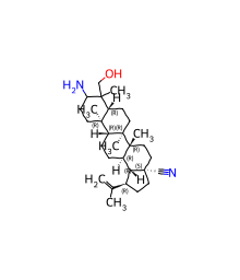 C=C(C)[C@@H]1CC[C@]2(C#N)CC[C@]3(C)[C@H](CC[C@@H]4[C@@]5(C)CCC(N)C(C)(CO)[C@@H]5CC[C@]43C)[C@@H]12